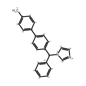 Cc1ccc(-c2ccc(C(c3ccccc3)n3ccnc3)cc2)cc1